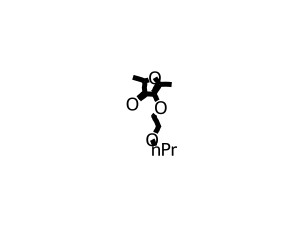 CCCOCCOC1=C(C)OC(C)C1=O